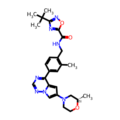 Cc1cc(-c2ncnn3cc(N4CCO[C@@H](C)C4)cc23)ccc1CNC(=O)c1nc(C(C)(C)C)no1